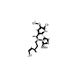 CC/C=C\C(C)CCN([C@@H](C)c1cnc(Cl)c(OCC)c1)n1ccnc1NC